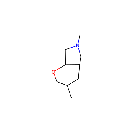 CC1COC2CN(C)CC2C1